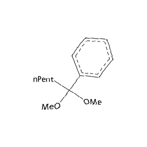 CCCCCC(OC)(OC)c1ccccc1